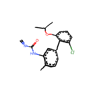 C=NC(=O)Nc1cc(-c2c(Cl)cccc2OC(C)C)ccc1C